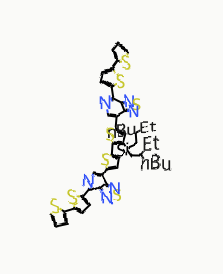 CCCCC(CC)C[Si]1(CC(CC)CCCC)c2cc(-c3cnc(-c4ccc(-c5cccs5)s4)c4nsnc34)sc2-c2sc(-c3cnc(-c4ccc(-c5cccs5)s4)c4nsnc34)cc21